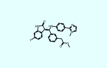 COC(=O)Cc1cccc(/C(Nc2ccc(-c3nccn3C)cc2)=C2/C(=O)Nc3cc(F)ccc32)c1